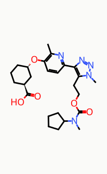 Cc1nc(-c2nnn(C)c2CCOC(=O)N(C)C2CCCC2)ccc1O[C@H]1CCC[C@H](C(=O)O)C1